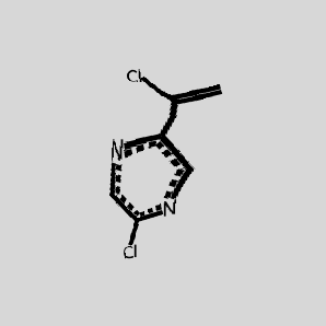 C=C(Cl)c1cnc(Cl)cn1